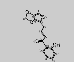 O=C(C=CCc1scc2c1OCO2)c1ccccc1O